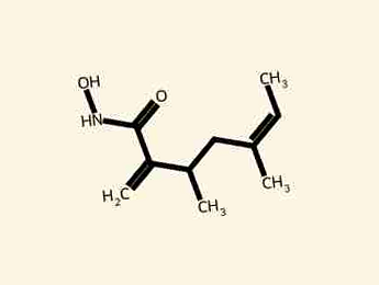 C=C(C(=O)NO)C(C)C/C(C)=C\C